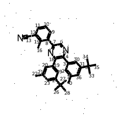 Cc1cc(-c2ncc(-c3cccc(C#N)c3C)nc2-c2cc(C)cc(C(C)(C)C)c2)cc(C(C)(C)C)c1